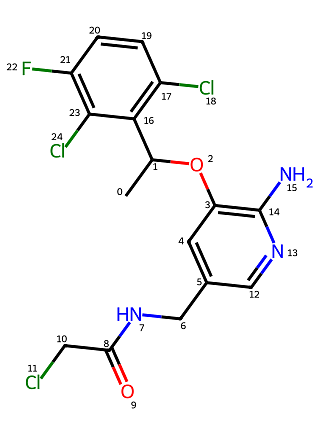 CC(Oc1cc(CNC(=O)CCl)cnc1N)c1c(Cl)ccc(F)c1Cl